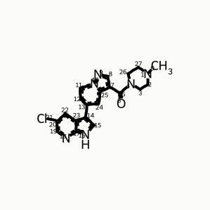 CN1CCN(C(=O)c2cnn3ccc(-c4c[nH]c5ncc(Cl)cc45)cc23)CC1